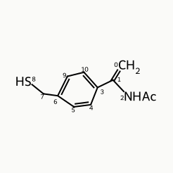 C=C(NC(C)=O)c1ccc(CS)cc1